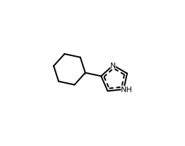 c1nc([C]2CCCCC2)c[nH]1